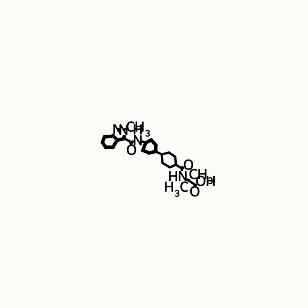 Cn1nc2ccccc2c1C(=O)Nc1ccc(C2CCC(C(=O)NC(C)(C)C(=O)O)CC2)cc1